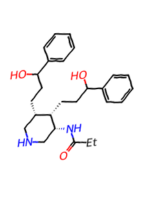 CCC(=O)N[C@@H]1CNC[C@H](CCC(O)c2ccccc2)[C@@H]1CCC(O)c1ccccc1